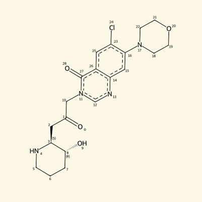 O=C(C[C@@H]1NCCC[C@H]1O)Cn1cnc2cc(N3CCOCC3)c(Cl)cc2c1=O